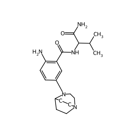 CC(C)C(NC(=O)c1cc(N2CCN3CCC2CC3)ccc1N)C(N)=O